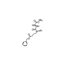 CCCN(CCCC(=O)OCc1ccccc1)C(=O)NNC(=O)OC(C)(C)C